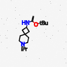 C=C(NC1CC2(CCN(C(C)C)CC2)C1)OC(C)(C)C